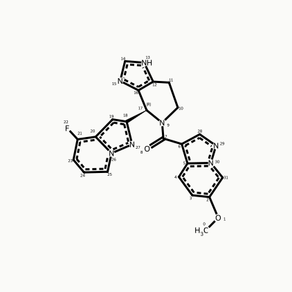 COc1ccc2c(C(=O)N3CCc4[nH]cnc4[C@@H]3c3cc4c(F)cccn4n3)cnn2c1